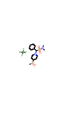 CN(C)S(=O)(=O)C(c1ccccc1)[n+]1ccc([S+](C)[O-])cc1.F[B-](F)(F)F